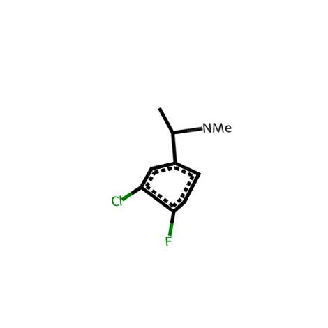 CNC(C)c1ccc(F)c(Cl)c1